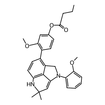 CCCC(=O)Oc1ccc(-c2ccc3c4c2CN(c2ccccc2OC)C4=CC(C)(C)N3)c(OC)c1